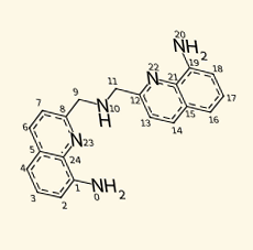 Nc1cccc2ccc(CNCc3ccc4cccc(N)c4n3)nc12